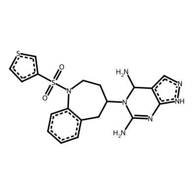 NC1=Nc2[nH]ncc2C(N)N1C1CCN(S(=O)(=O)c2ccsc2)c2ccccc2C1